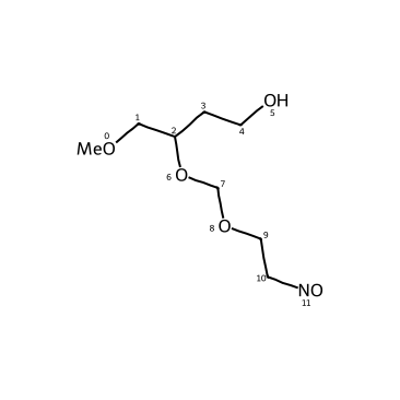 COCC(CCO)OCOCCN=O